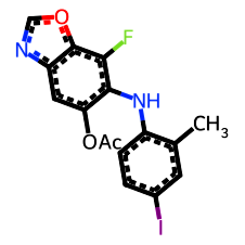 CC(=O)Oc1cc2ncoc2c(F)c1Nc1ccc(I)cc1C